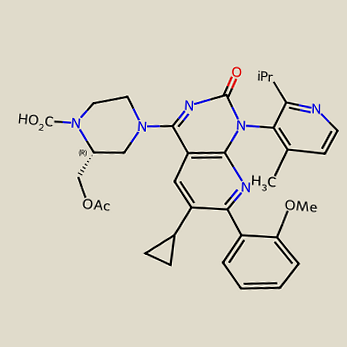 COc1ccccc1-c1nc2c(cc1C1CC1)c(N1CCN(C(=O)O)[C@@H](COC(C)=O)C1)nc(=O)n2-c1c(C)ccnc1C(C)C